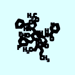 CCCC(CCC)S(=O)(=O)C[C@@H](NC(=O)c1cccnc1)C(=O)N[C@@H](Cc1cc(F)cc(F)c1)[C@@H](O)[C@H](O)[C@@H](CCOC)NC(=O)c1ccccc1